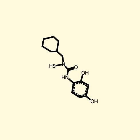 O=C(Nc1ccc(O)cc1O)N(S)CC1CCCCC1